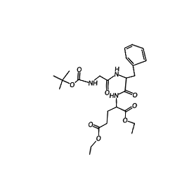 CCOC(=O)CCC(NC(=O)C(Cc1ccccc1)NC(=O)CNC(=O)OC(C)(C)C)C(=O)OCC